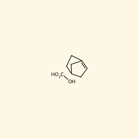 C1=C2CCC(C1)C2.O=C(O)O